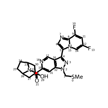 CSCn1nc(-c2cnc3c(F)cc(F)cn23)c2cnc(C(=O)N3C4CCC3CC(O)C4)cc21